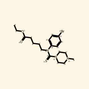 CCOC(=O)CCCCN(C(=S)N1CCN(C)CC1)c1ccc(Br)cc1